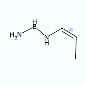 NBN/C=C\I